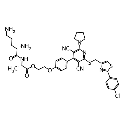 C[C@H](NC(=O)[C@@H](N)CCCN)C(=O)OCCOc1ccc(-c2c(C#N)c(SCc3csc(-c4ccc(Cl)cc4)n3)nc(N3CCCC3)c2C#N)cc1